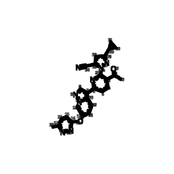 CC(=O)c1ccc(-c2cnn3cc(Oc4ccc(C)nn4)ccc23)nc1-n1nc(C2CC2)cc1C#N